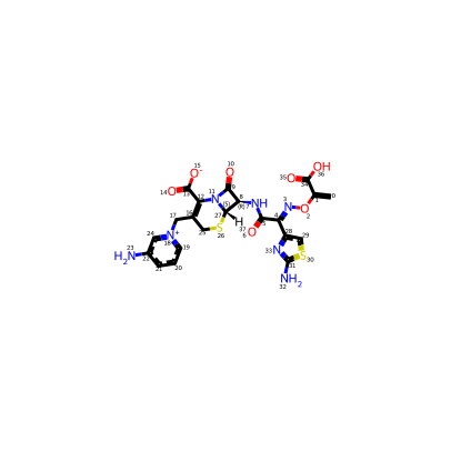 C=C(ON=C(C(=O)N[C@@H]1C(=O)N2C(C(=O)[O-])=C(C[n+]3cccc(N)c3)CS[C@@H]12)c1csc(N)n1)C(=O)O